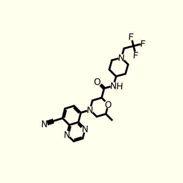 CC1CN(c2ccc(C#N)c3nccnc23)CC(C(=O)NC2CCN(CC(F)(F)F)CC2)O1